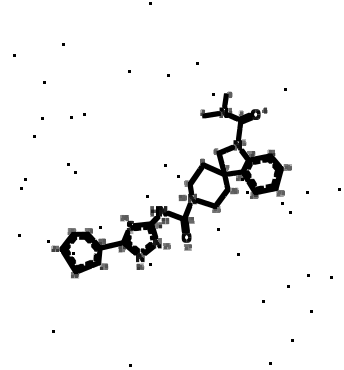 CN(C)C(=O)N1CC2(CCN(C(=O)Nc3nnc(-c4ccccc4)s3)CC2)c2ccccc21